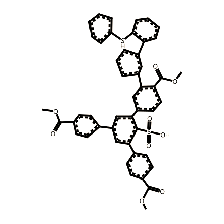 COC(=O)c1ccc(-c2cc(-c3ccc(C(=O)OC)cc3)c(S(=O)(=O)O)c(-c3ccc(C(=O)OC)c(-c4ccc5c(c4)-c4ccccc4[SH]5c4ccccc4)c3)c2)cc1